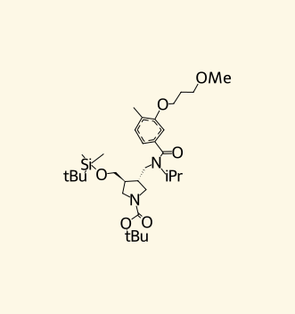 COCCCOc1cc(C(=O)N(C[C@@H]2CN(C(=O)OC(C)(C)C)C[C@H]2CO[Si](C)(C)C(C)(C)C)C(C)C)ccc1C